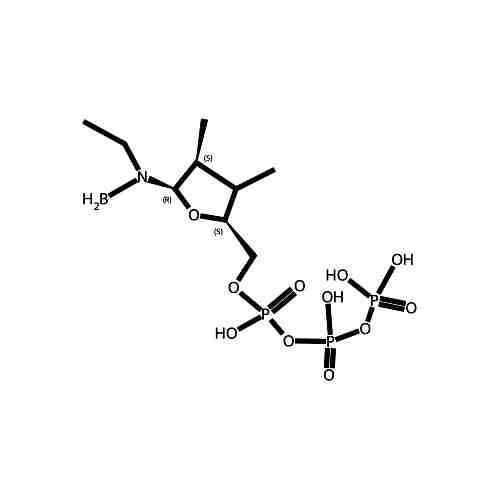 BN(CC)[C@@H]1O[C@H](COP(=O)(O)OP(=O)(O)OP(=O)(O)O)C(C)[C@@H]1C